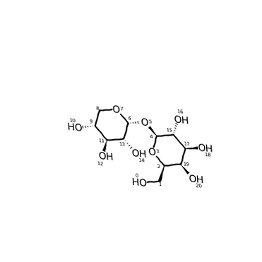 OC[C@H]1O[C@@H](O[C@H]2OC[C@@H](O)[C@H](O)[C@H]2O)[C@H](O)[C@@H](O)[C@H]1O